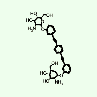 N[C@@H]1[C@@H](O)[C@H](O)[C@@H](CO)C[C@H]1Oc1cccc(C#Cc2ccc(C#Cc3cccc(O[C@@H]4O[C@H](CO)[C@@H](O)[C@H](O)[C@H]4N)c3)cc2)c1